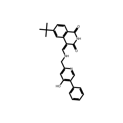 CC(C)(C)c1ccc2c(c1)/C(=C/NCc1cc(O)c(-c3ccccc3)cn1)C(=O)NC2=O